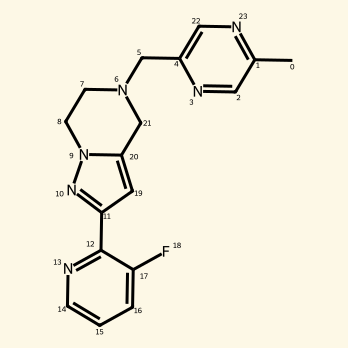 Cc1cnc(CN2CCn3nc(-c4ncccc4F)cc3C2)cn1